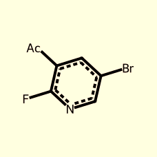 CC(=O)c1cc(Br)cnc1F